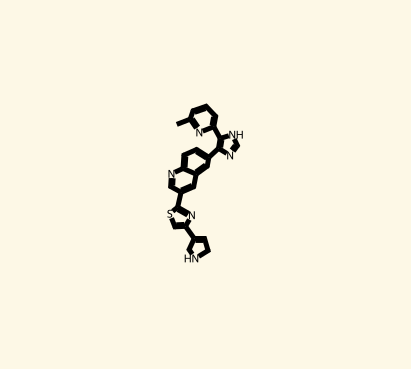 Cc1cccc(-c2[nH]cnc2-c2ccc3ncc(-c4nc(C5=CCNC5)cs4)cc3c2)n1